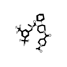 CC(=O)N1CCC(C(=O)N2CC[C@H](C(=O)N(C)Cc3cc(C(F)(F)F)cc(C(F)(F)F)c3)[C@H](c3ccccc3)CC2)CC1